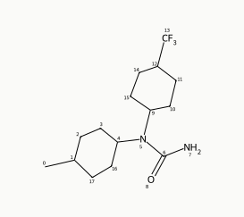 CC1CCC(N(C(N)=O)C2CCC(C(F)(F)F)CC2)CC1